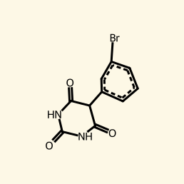 O=C1NC(=O)C(c2cccc(Br)c2)C(=O)N1